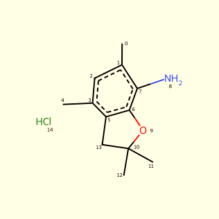 Cc1cc(C)c2c(c1N)OC(C)(C)C2.Cl